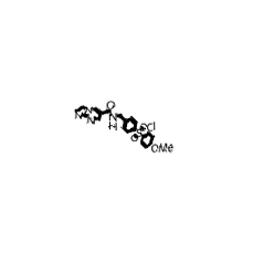 COc1ccc(S(=O)(=O)c2ccc(CNC(=O)c3cnc4nccn4c3)cc2)c(Cl)c1